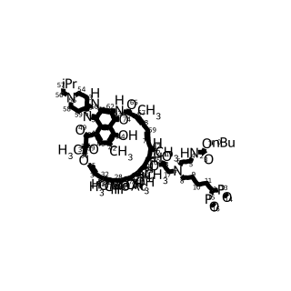 CCCCOC(=O)NCCN(CCCCC(P=O)P=O)CC(=O)O[C@@H]1[C@@H](C)[C@@H](O)[C@@H](C)[C@H](OC(C)=O)[C@H](C)[C@@H](OC)/C=C/O[C@@]2(C)Oc3c(C)c(O)c4c(c3C2=O)C2=NC3(CCN(CC(C)C)CC3)NC2=C(NC(=O)/C(C)=C\C=C\[C@@H]1C)C4=O